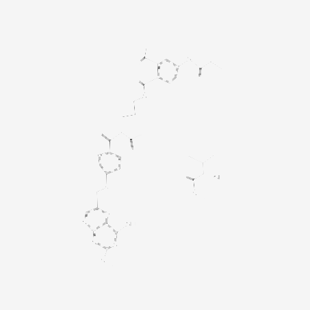 CC(C)[C@H](N)C(N)=O.CCC(=O)Nc1ccc(C(=O)NCCC[C@H](C(=O)O)C(=O)c2ccc(NCc3cnc4nc(N)nc(N)c4n3)cc2)c(C(=O)O)c1